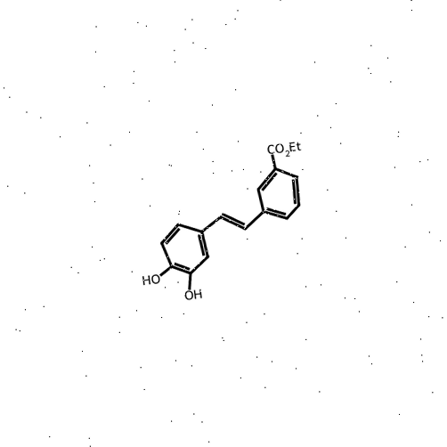 CCOC(=O)c1cccc(C=Cc2ccc(O)c(O)c2)c1